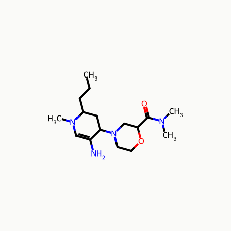 CCCC1CC(N2CCOC(C(=O)N(C)C)C2)C(N)=CN1C